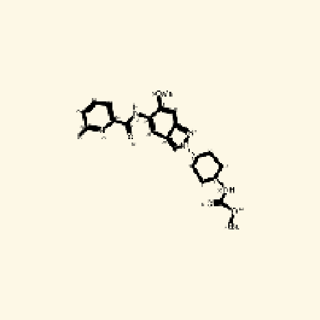 COc1cc2nn([C@H]3CC[C@H](NC(=O)OC(C)(C)C)CC3)cc2cc1NC(=O)c1cccc(C)n1